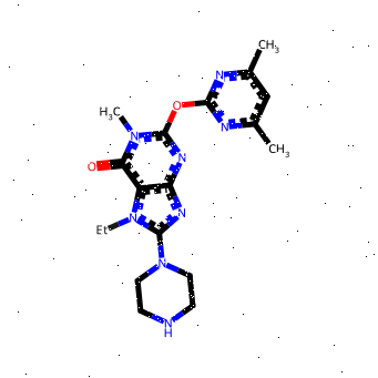 CCn1c(N2CCNCC2)nc2nc(Oc3nc(C)cc(C)n3)n(C)c(=O)c21